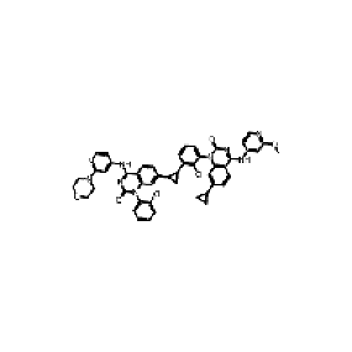 COc1cc(Nc2nc(=O)n(-c3cccc(C4CC4c4ccc5c(Nc6ccnc(N7CCOCC7)c6)nc(=O)n(-c6ccccc6Cl)c5c4)c3Cl)c3cc(C4CC4)ccc23)ccn1